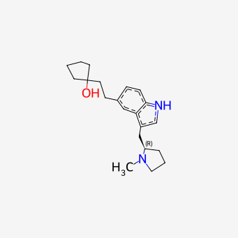 CN1CCC[C@@H]1Cc1c[nH]c2ccc(CCC3(O)CCCC3)cc12